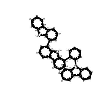 c1ccc(-n2c3ccccc3c3ccccc32)c(-c2cccc3c2oc2c(-c4cccc5c4oc4ccccc45)cccc23)c1